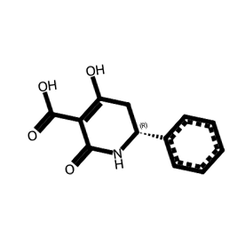 O=C(O)C1=C(O)C[C@H](c2ccccc2)NC1=O